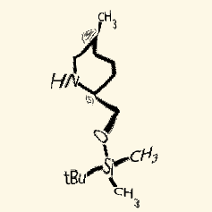 C[C@@H]1CN[C@H](CO[Si](C)(C)C(C)(C)C)C1